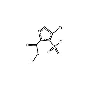 CCc1csc(C(=O)OC(C)C)c1S(=O)(=O)Cl